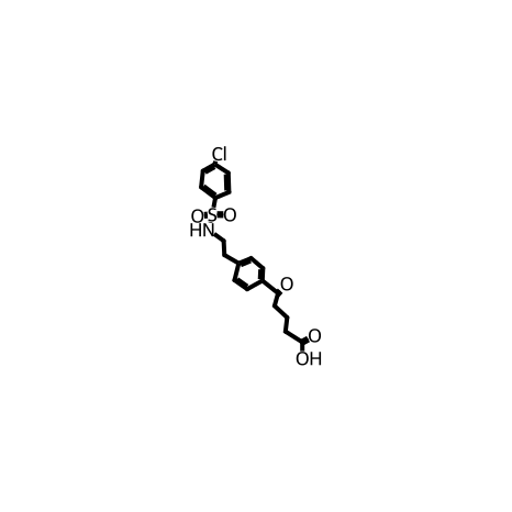 O=C(O)CCCC(=O)c1ccc(CCNS(=O)(=O)c2ccc(Cl)cc2)cc1